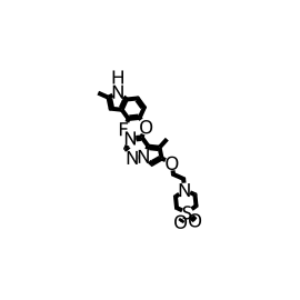 Cc1cc2c(F)c(Oc3ncnn4cc(OCCN5CCS(=O)(=O)CC5)c(C)c34)ccc2[nH]1